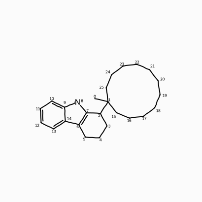 CC1(C2CCCC3=C2[N]c2ccccc23)CCCCCCCCCCC1